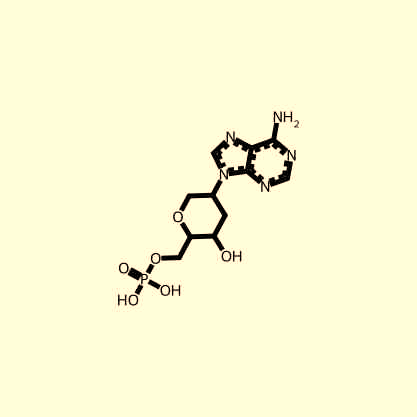 Nc1ncnc2c1ncn2C1COC(COP(=O)(O)O)C(O)C1